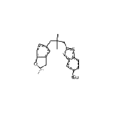 C[C@H]1Cc2cc(CC(C)(C)Cc3nc4cc(C(C)(C)C)ccc4s3)ccc2O1